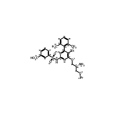 CCc1c(OC[C@H](N)COC(C)C)nc(NS(=O)(=O)c2cccc(C(=O)O)c2)nc1-c1c(C)cccc1C